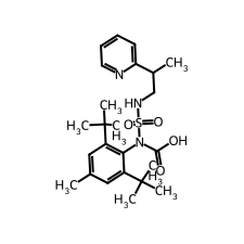 Cc1cc(C(C)(C)C)c(N(C(=O)O)S(=O)(=O)NCC(C)c2ccccn2)c(C(C)(C)C)c1